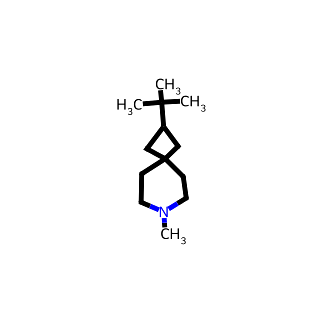 CN1CCC2(CC1)CC(C(C)(C)C)C2